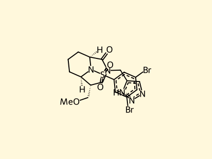 COC[C@H]1CN(Cc2cnn[nH]2)C(=O)[C@@H]2CCC[C@H]1N2S(=O)(=O)c1cc(Br)cc(Br)c1